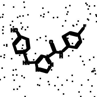 O=C(Nc1ccc(F)cc1)c1cc(Nc2ccc(O)cc2)ncn1